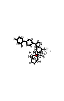 CS(=O)(=O)c1c([C@H]2C[C@H]3CC[C@@H](C2)N3C(N)=O)nc2c(-c3ccc(-c4ccc(F)cc4F)nc3)cnn2c1N